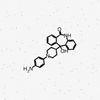 Nc1ccc(N2CCC(C3(O)c4ccccc4NC(=O)c4ccccc43)CC2)cc1